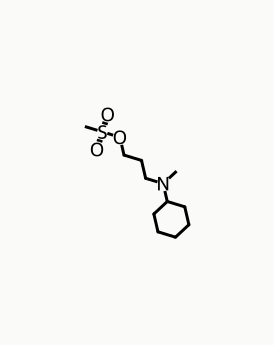 CN(CCCOS(C)(=O)=O)C1CCCCC1